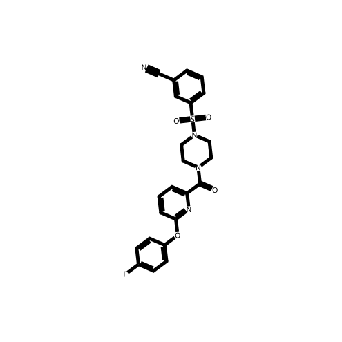 N#Cc1cccc(S(=O)(=O)N2CCN(C(=O)c3cccc(Oc4ccc(F)cc4)n3)CC2)c1